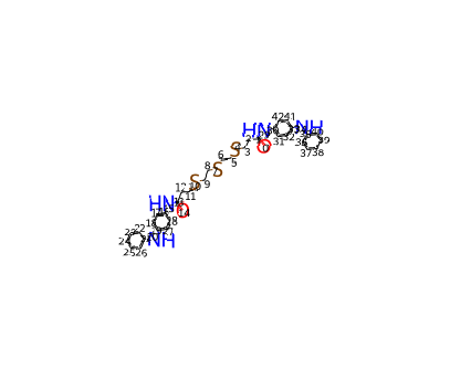 O=C(CCSCCSCCSCCC(=O)Nc1ccc(Nc2ccccc2)cc1)Nc1ccc(Nc2ccccc2)cc1